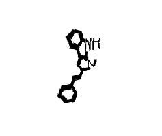 C(=Cc1cnc2[nH]c3ccccc3c2c1)c1ccccc1